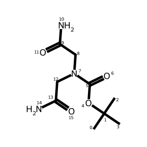 CC(C)(C)OC(=O)N(CC(N)=O)CC(N)=O